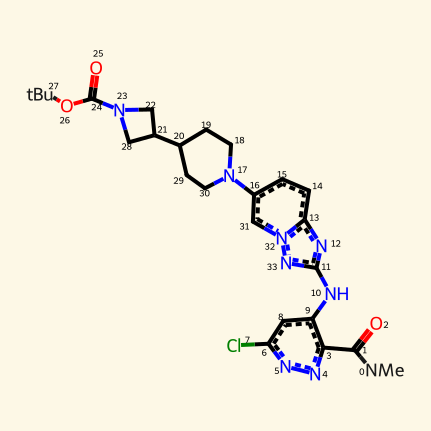 CNC(=O)c1nnc(Cl)cc1Nc1nc2ccc(N3CCC(C4CN(C(=O)OC(C)(C)C)C4)CC3)cn2n1